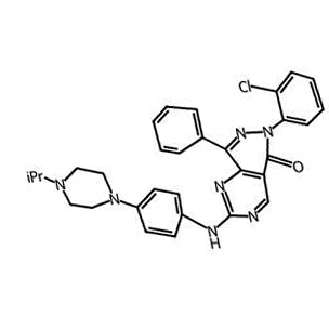 CC(C)N1CCN(c2ccc(Nc3ncc4c(=O)n(-c5ccccc5Cl)nc(-c5ccccc5)c4n3)cc2)CC1